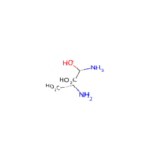 NC(O)C(=O)O.NCC(=O)O